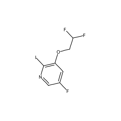 Fc1cnc(I)c(OCC(F)F)c1